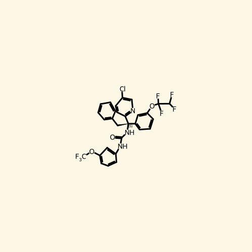 O=C(Nc1cccc(OC(F)(F)F)c1)N[C@@](Cc1ccccc1)(c1cccc(OC(F)(F)C(F)F)c1)c1ccc(Cl)cn1